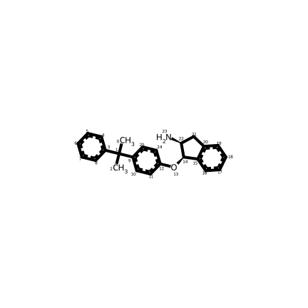 CC(C)(c1ccccc1)c1ccc(O[C@@H]2c3ccccc3C[C@@H]2N)cc1